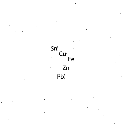 [Cu].[Fe].[Pb].[Sn].[Zn]